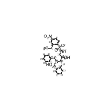 CC(C)Cc1cc([N+](=O)[O-])ccc1S(=O)(=O)NC[C@@H](O)[C@H](Cc1ccccc1)N(Cc1ccccc1)C(=O)O